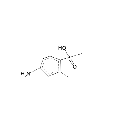 Cc1cc(N)ccc1P(C)(=O)O